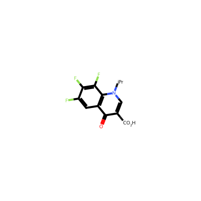 CC(C)n1cc(C(=O)O)c(=O)c2cc(F)c(F)c(F)c21